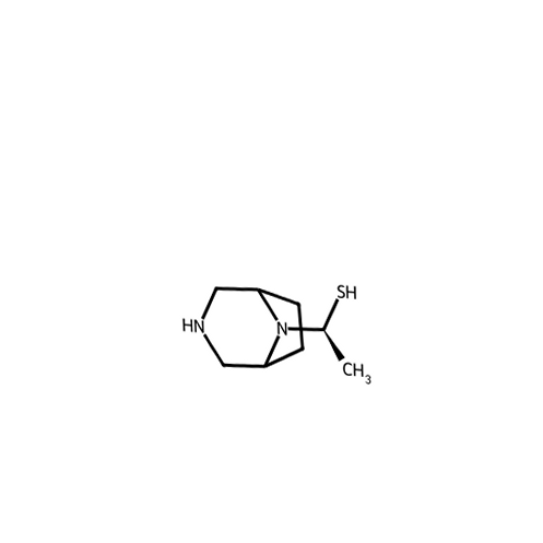 C[C@H](S)N1C2CCC1CNC2